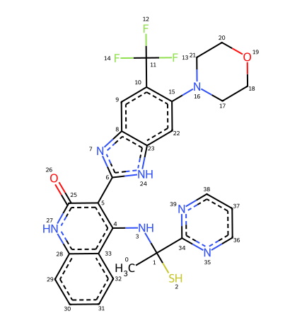 CC(S)(Nc1c(-c2nc3cc(C(F)(F)F)c(N4CCOCC4)cc3[nH]2)c(=O)[nH]c2ccccc12)c1ncccn1